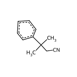 CC(C)(CC#N)c1ccccc1